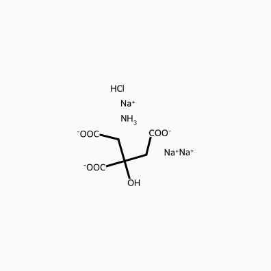 Cl.N.O=C([O-])CC(O)(CC(=O)[O-])C(=O)[O-].[Na+].[Na+].[Na+]